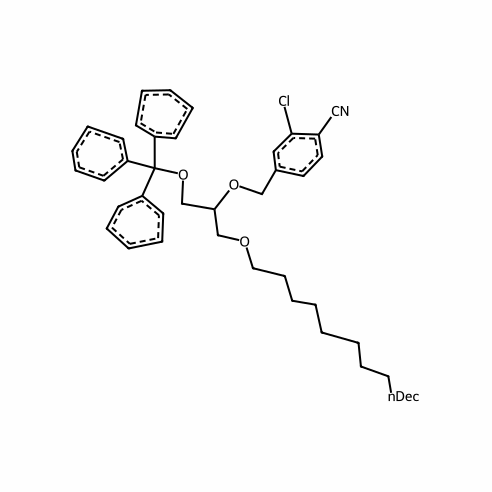 CCCCCCCCCCCCCCCCCCOCC(COC(c1ccccc1)(c1ccccc1)c1ccccc1)OCc1ccc(C#N)c(Cl)c1